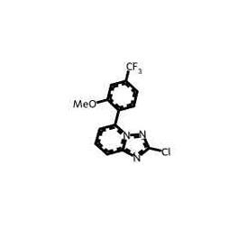 COc1cc(C(F)(F)F)ccc1-c1cccc2nc(Cl)nn12